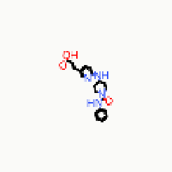 O=C(O)C=Cc1ccc(NC2CCN(C(=O)Nc3ccccc3)CC2)nc1